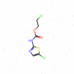 O=C(Nc1ncc(Cl)s1)OCCCl